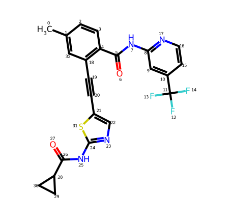 Cc1ccc(C(=O)Nc2cc(C(F)(F)F)ccn2)c(C#Cc2cnc(NC(=O)C3CC3)s2)c1